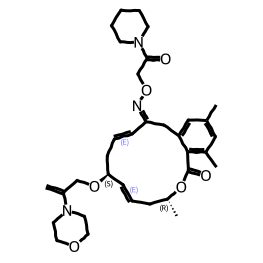 C=C(CO[C@@H]1/C=C/C[C@@H](C)OC(=O)c2c(C)cc(C)cc2CC(=NOCC(=O)N2CCCCC2)/C=C/C1)N1CCOCC1